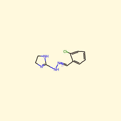 Clc1ccccc1/C=N/NC1=NCCN1